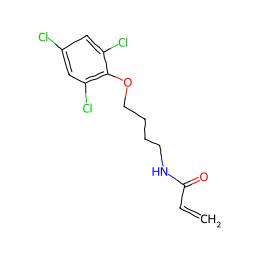 C=CC(=O)NCCCCOc1c(Cl)cc(Cl)cc1Cl